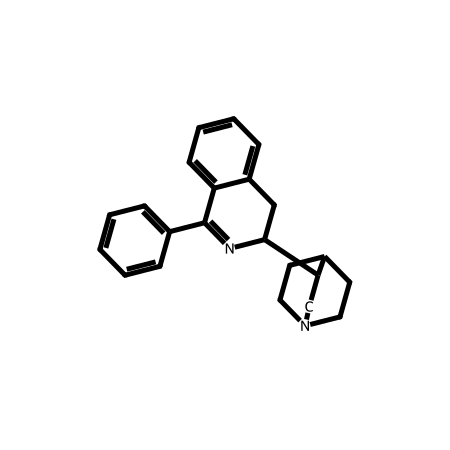 c1ccc(C2=NC(C3CN4CCC3CC4)Cc3ccccc32)cc1